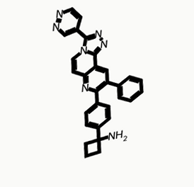 NC1(c2ccc(-c3nc4ccn5c(-c6ccnnc6)nnc5c4cc3-c3ccccc3)cc2)CCC1